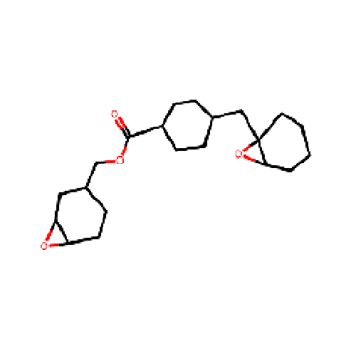 O=C(OCC1CCC2OC2C1)C1CCC(CC23CCCCC2O3)CC1